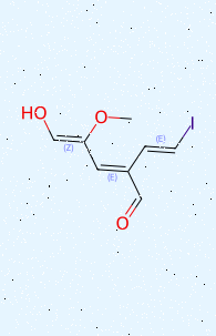 COC(=C\O)/C=C(C=O)\C=C\I